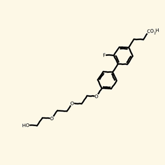 O=C(O)CCc1ccc(-c2ccc(OCCOCCOCCO)cc2)c(F)c1